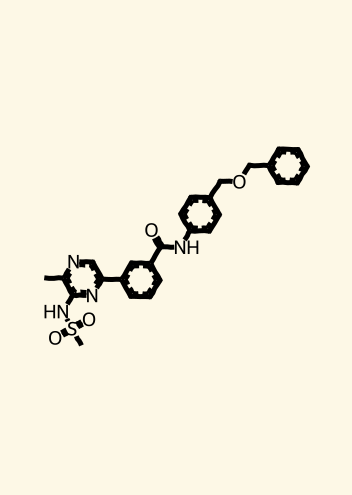 Cc1ncc(-c2cccc(C(=O)Nc3ccc(COCc4ccccc4)cc3)c2)nc1NS(C)(=O)=O